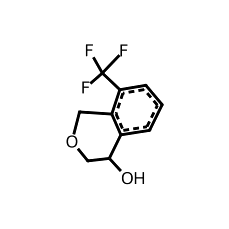 OC1COCc2c1cccc2C(F)(F)F